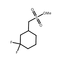 COS(=O)(=O)CC1CCCC(F)(F)C1